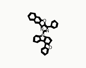 c1ccc(-c2nc(-n3c4ccccc4c4c5c(ccc43)oc3ccccc35)nc3c2oc2cc4ccccc4cc23)cc1